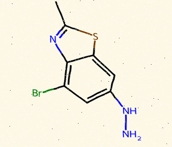 Cc1nc2c(Br)cc(NN)cc2s1